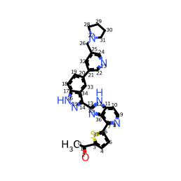 CC(=O)c1ccc(-c2nccc3[nH]c(-c4n[nH]c5ccc(-c6cncc(CN7CCCC7)c6)cc45)nc23)s1